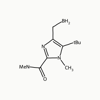 BCc1nc(C(=O)NC)n(C)c1C(C)(C)C